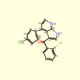 O=C(c1ccccc1F)c1c[nH]c2nccc(-c3ccc(Cl)cc3)c12